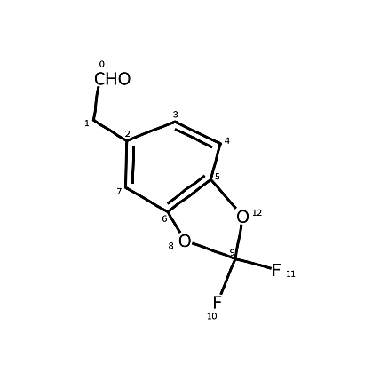 O=CCc1ccc2c(c1)OC(F)(F)O2